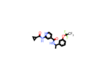 CC(NC(=O)c1ccnc(NC(=O)C2CC2)c1)c1cccc(OC(F)(F)C(F)(F)F)c1